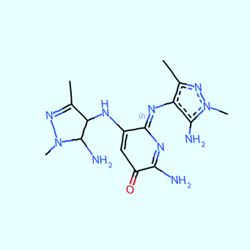 CC1=NN(C)C(N)C1NC1=CC(=O)C(N)=N/C1=N\c1c(C)nn(C)c1N